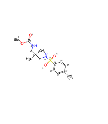 CC(C)(CNC(=O)OC(C)(C)C)CNS(=O)(=O)c1ccc([N+](=O)[O-])cc1